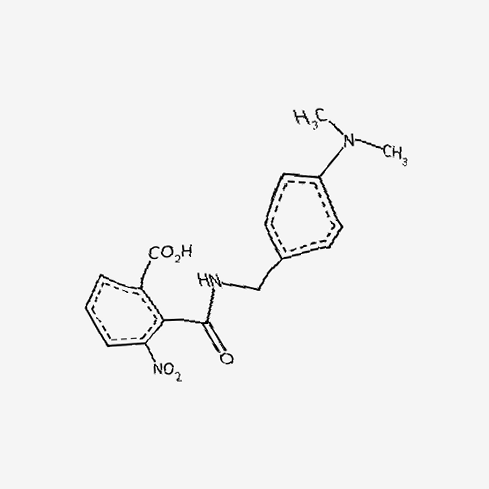 CN(C)c1ccc(CNC(=O)c2c(C(=O)O)cccc2[N+](=O)[O-])cc1